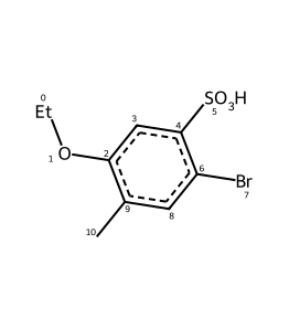 CCOc1cc(S(=O)(=O)O)c(Br)cc1C